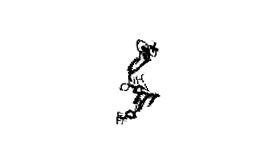 CC(C)C1c2ncc(C(=O)NCC3CCN(C(=O)OC(C)(C)C)CC3)cc2CN1Cc1ccc(C(F)(F)F)cc1